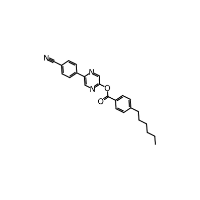 CCCCCCc1ccc(C(=O)Oc2cnc(-c3ccc(C#N)cc3)cn2)cc1